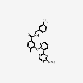 CNc1ncnc(-c2cccnc2Oc2cc(C(=O)NCc3cccc(C(F)(F)F)c3)ccc2C)n1